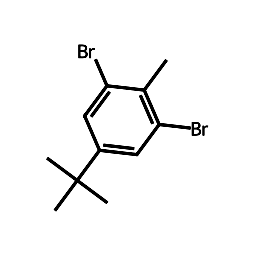 Cc1c(Br)cc(C(C)(C)C)cc1Br